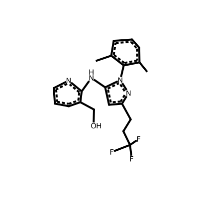 Cc1cccc(C)c1-n1nc(CCC(F)(F)F)cc1Nc1ncccc1CO